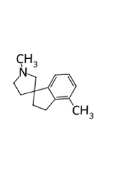 Cc1cccc2c1CCC21CCN(C)C1